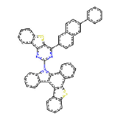 c1ccc(-c2ccc3cc(-c4nc(-n5c6ccccc6c6c7c8ccccc8sc7c7ccccc7c65)nc5c4sc4ccccc45)ccc3c2)cc1